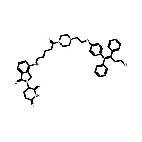 O=C1CCC(N2Cc3c(NCCCCC(=O)N4CCN(CCOc5ccc(C(=C(CCCl)c6ccccc6)c6ccccc6)cc5)CC4)cccc3C2=O)C(=O)N1